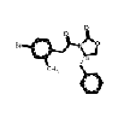 Cc1cc(Br)ccc1CC(=O)N1C(=O)OC[C@@H]1Cc1ccccc1